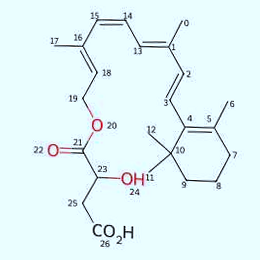 CC(C=CC1=C(C)CCCC1(C)C)=C/C=C\C(C)=CCOC(=O)C(O)CC(=O)O